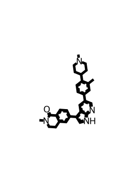 Cc1cc(-c2cnc3[nH]cc(-c4ccc5c(c4)CCN(C)C5=O)c3c2)ccc1C1CCN(C)CC1